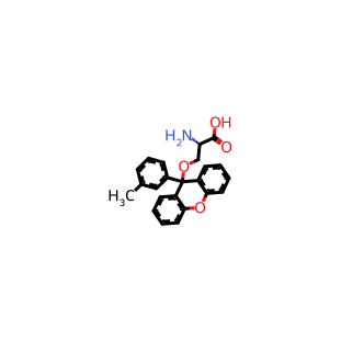 Cc1cccc(C2(OC[C@@H](N)C(=O)O)c3ccccc3Oc3ccccc32)c1